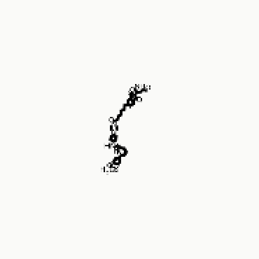 CS(=O)(=O)c1ccc(-c2cccc3nc(Nc4ccc(N5CCN(C(=O)CCCCCCc6ccc7c(c6)C(=O)N(C(CCC=O)C(N)=O)C7=O)CC5)cc4)nn23)cc1